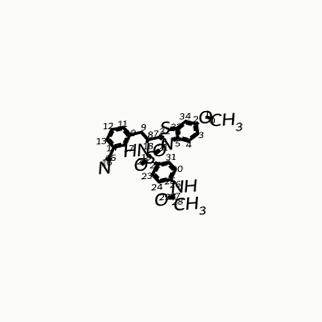 COc1ccc2nc(C(Cc3cccc(C#N)c3)NS(=O)(=O)c3ccc(NC(C)=O)cc3)sc2c1